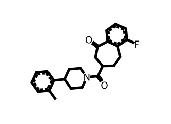 Cc1ccccc1C1CCN(C(=O)C2CCc3c(F)cccc3C(=O)C2)CC1